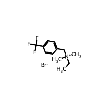 CC[N+](C)(C)Cc1ccc(C(F)(F)F)cc1.[Br-]